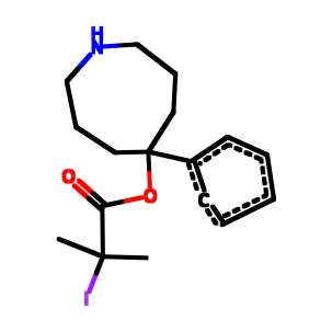 CC(C)(I)C(=O)OC1(c2ccccc2)CCCNCCC1